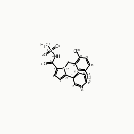 CS(=O)(=O)NC(=O)c1ccc(-c2cccnc2)n1Cc1cc(Cl)ccc1Cl